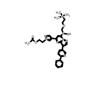 CC(=O)OCCn1cc(-c2cc(N(S)COCC[Si](C)(C)C)n3ncc(-c4ccc(-c5ccccc5)nc4)c3n2)cn1